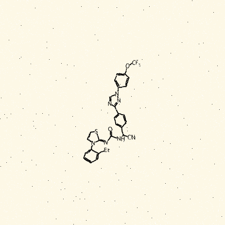 CCc1ccccc1N1CCS/C1=N\C(=O)NC(C#N)c1ccc(-c2ncn(-c3ccc(OC(F)(F)F)cc3)n2)cc1